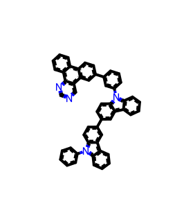 c1ccc(-n2c3ccccc3c3cc(-c4ccc5c(c4)c4ccccc4n5-c4cccc(-c5ccc6c7ccccc7c7ncncc7c6c5)c4)ccc32)cc1